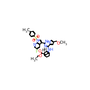 CCOC(=O)[C@@H]1C2CCC(CC2)[C@H]1Nc1nc(-c2cn(S(=O)(=O)c3ccc(C)cc3)c3ncc(F)cc23)nn2cc(COC)cc12